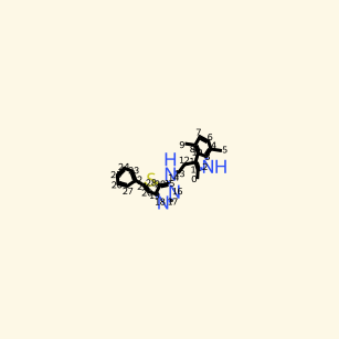 Cc1[nH]c2c(C)ccc(C)c2c1CCNc1ncnc2cc(-c3ccccc3)sc12